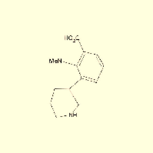 CNc1c(C(=O)O)cccc1C1CCCNC1